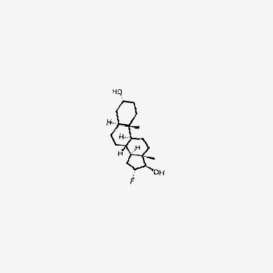 C[C@]12CC[C@@H](O)C[C@@H]1CC[C@@H]1[C@@H]2CC[C@]2(C)[C@@H](O)[C@H](F)C[C@@H]12